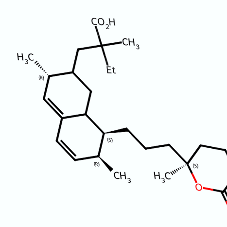 CCC(C)(CC1CC2C(=C[C@@H]1C)C=C[C@H](C)[C@@H]2CCC[C@@]1(C)CCCC(=O)O1)C(=O)O